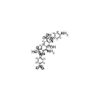 Nc1ccc(/N=N/c2c(S(=O)(=O)O)cc3cc(S(=O)(=O)O)c(/N=N/c4ccc([N+](=O)[O-])cc4)c(N)c3c2O)cc1